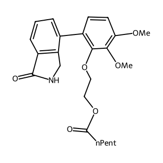 CCCCCC(=O)OCCOc1c(-c2cccc3c2CNC3=O)ccc(OC)c1OC